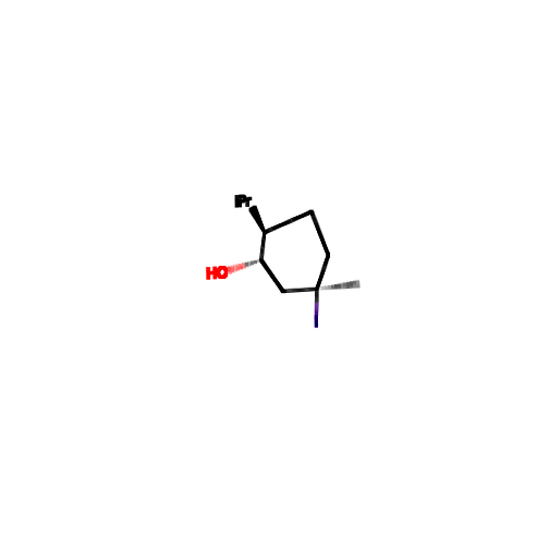 CC(C)[C@H]1CC[C@@](C)(I)C[C@@H]1O